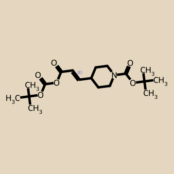 CC(C)(C)OC(=O)OC(=O)/C=C/C1CCN(C(=O)OC(C)(C)C)CC1